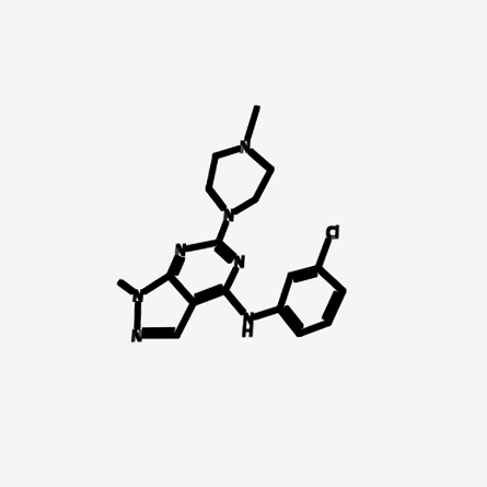 CN1CCN(c2nc(Nc3cccc(Cl)c3)c3cnn(C)c3n2)CC1